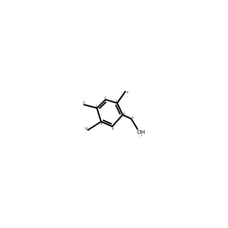 Cc1cc(C)c(CO)cc1C